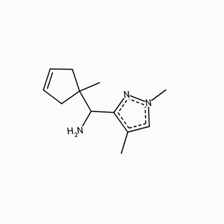 Cc1cn(C)nc1C(N)C1(C)CC=CC1